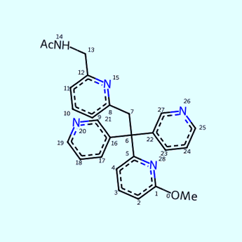 COc1cccc(C(Cc2cccc(CNC(C)=O)n2)(c2cccnc2)c2cccnc2)n1